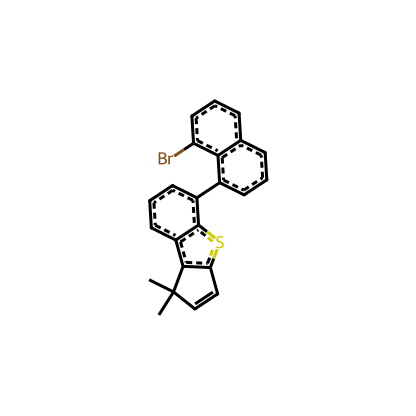 CC1(C)C=Cc2sc3c(-c4cccc5cccc(Br)c45)cccc3c21